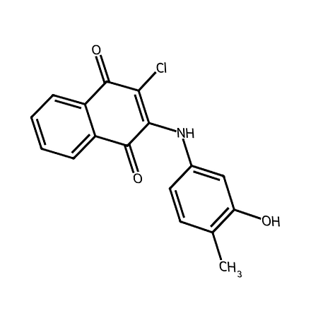 Cc1ccc(NC2=C(Cl)C(=O)c3ccccc3C2=O)cc1O